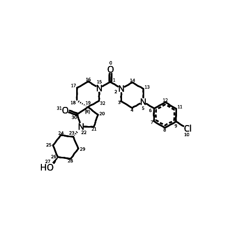 O=C(N1CCN(c2ccc(Cl)cc2)CC1)N1CCC[C@@]2(CCN([C@H]3CC[C@H](O)CC3)C2=O)C1